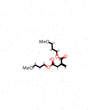 C=C(CC(=O)OCCCOC)C(=O)OCCCOC